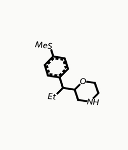 CCC(c1ccc(SC)cc1)C1CNCCO1